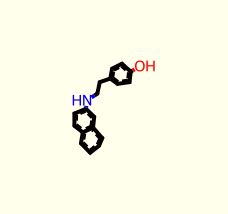 Oc1ccc(CCNc2ccc3ccccc3c2)cc1